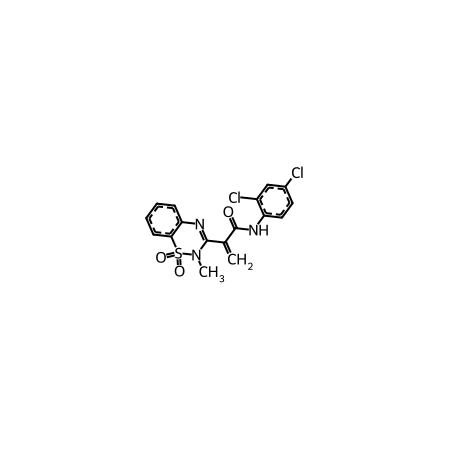 C=C(C(=O)Nc1ccc(Cl)cc1Cl)C1=Nc2ccccc2S(=O)(=O)N1C